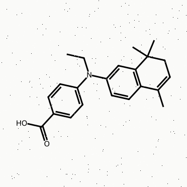 CCN(c1ccc(C(=O)O)cc1)c1ccc2c(c1)C(C)(C)CC=C2C